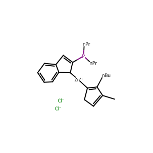 CCCCC1=[C]([Zr+2][CH]2C(P(CCC)CCC)=Cc3ccccc32)CC=C1C.[Cl-].[Cl-]